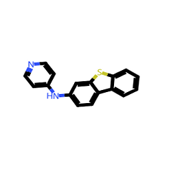 c1ccc2c(c1)sc1cc(Nc3ccncc3)ccc12